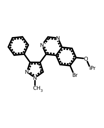 CC(C)Oc1cc2ncnc(-c3cn(C)nc3-c3ccccc3)c2cc1Br